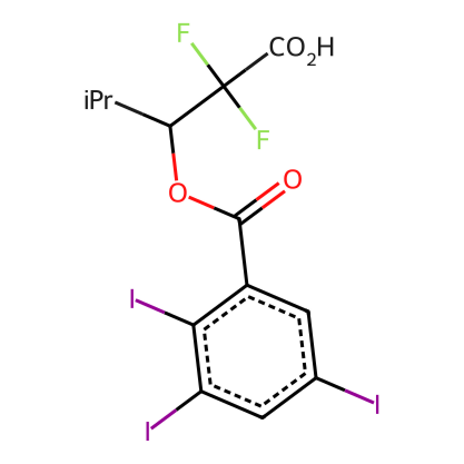 CC(C)C(OC(=O)c1cc(I)cc(I)c1I)C(F)(F)C(=O)O